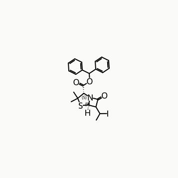 CC(I)C1C(=O)N2[C@@H]1SC(C)(C)[C@@H]2C(=O)OC(c1ccccc1)c1ccccc1